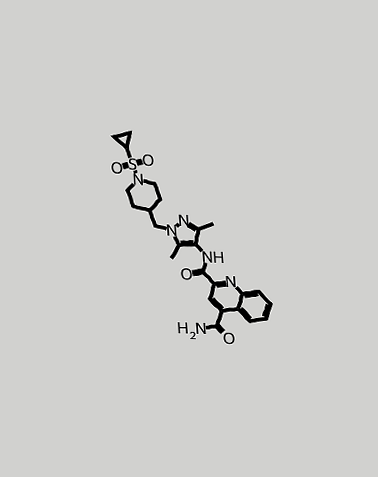 Cc1nn(CC2CCN(S(=O)(=O)C3CC3)CC2)c(C)c1NC(=O)c1cc(C(N)=O)c2ccccc2n1